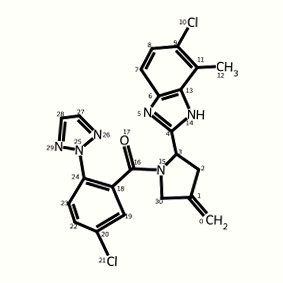 C=C1CC(c2nc3ccc(Cl)c(C)c3[nH]2)N(C(=O)c2cc(Cl)ccc2-n2nccn2)C1